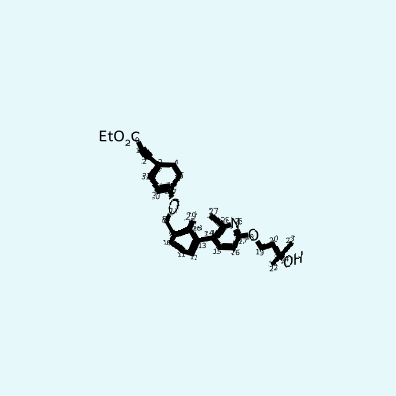 CCOC(=O)C#Cc1ccc(OCc2cccc(-c3ccc(OCCC(C)(C)O)nc3C)c2C)cc1